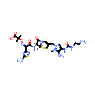 Cn1c(N)c(NC(=O)NCCN)c[n+]1CC1=CN2C(=O)[C@@H](NC(=O)/C(=N\OC(C)(C)C(=O)O)c3nsc(N)n3)[C@H]2SC1